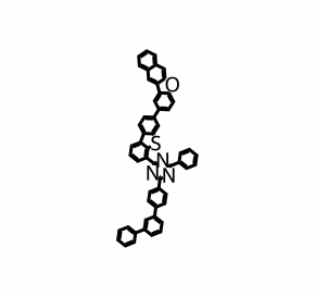 c1ccc(-c2cccc(-c3ccc(-c4nc(-c5ccccc5)nc(-c5cccc6c5sc5cc(-c7ccc8oc9cc%10ccccc%10cc9c8c7)ccc56)n4)cc3)c2)cc1